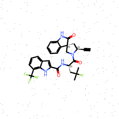 C#C[C@@H]1C[C@@]2(CN1C(=O)[C@H](CC(C)(C)F)NC(=O)c1cc3cccc(C(F)(F)F)c3[nH]1)C(=O)Nc1ccccc12